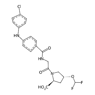 O=C(NCC(=O)N1C[C@H](OC(F)F)C[C@H]1C(=O)O)c1ccc(Nc2ccc(Cl)cc2)cc1